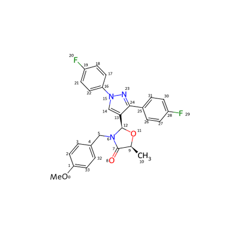 COc1ccc(CN2C(=O)[C@H](C)O[C@@H]2c2cn(-c3ccc(F)cc3)nc2-c2ccc(F)cc2)cc1